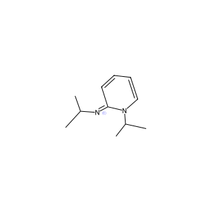 CC(C)/N=c1\ccccn1C(C)C